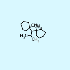 CC(C)C(C1(C)CCCCC1)C1(C)CCCCC1